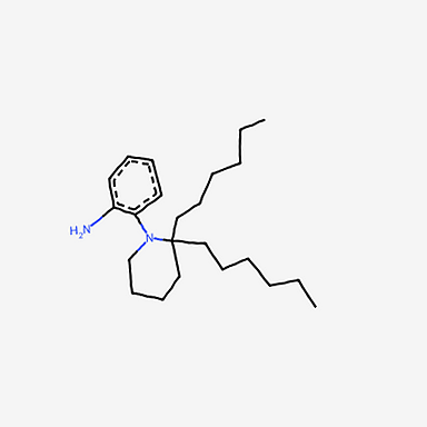 CCCCCCC1(CCCCCC)CCCCN1c1ccccc1N